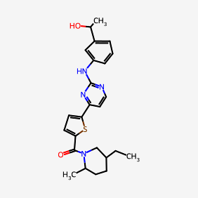 CCC1CCC(C)N(C(=O)c2ccc(-c3ccnc(Nc4cccc(C(C)O)c4)n3)s2)C1